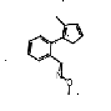 CON=Cc1ccccc1C1=C(C)C=CC1